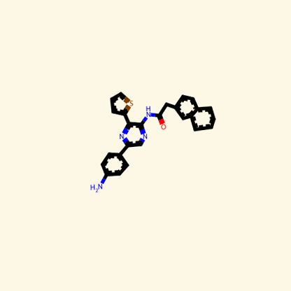 Nc1ccc(-c2cnc(NC(=O)Cc3ccc4ccccc4c3)c(-c3cccs3)n2)cc1